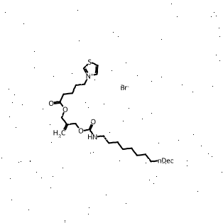 C=C(COC(=O)CCCC[n+]1ccsc1)COC(=O)NCCCCCCCCCCCCCCCCCC.[Br-]